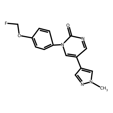 Cn1cc(-c2cnc(=O)n(-c3ccc(OCF)cc3)c2)cn1